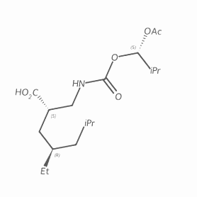 CC[C@H](CC(C)C)C[C@@H](CNC(=O)O[C@H](OC(C)=O)C(C)C)C(=O)O